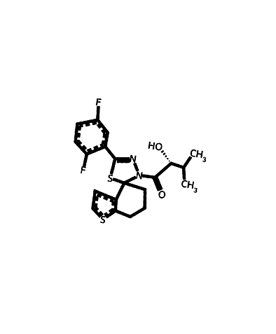 CC(C)[C@@H](O)C(=O)N1N=C(c2cc(F)ccc2F)SC12CCCc1sccc12